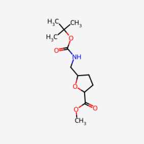 COC(=O)C1CCC(CNC(=O)OC(C)(C)C)O1